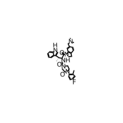 Cc1cc(F)ccc1N1CCN(C(=O)N[C@@H](C(=O)N2CCc3ccc(CN(C)C)cc32)[C@H](C)c2c[nH]c3ccccc23)CC1=O